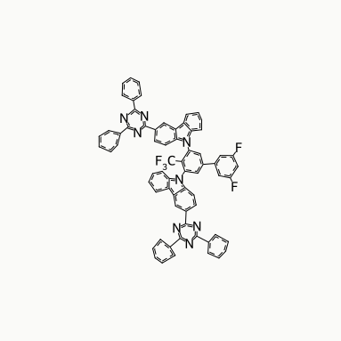 Fc1cc(F)cc(-c2cc(-n3c4ccccc4c4cc(-c5nc(-c6ccccc6)nc(-c6ccccc6)n5)ccc43)c(C(F)(F)F)c(-n3c4ccccc4c4cc(-c5nc(-c6ccccc6)nc(-c6ccccc6)n5)ccc43)c2)c1